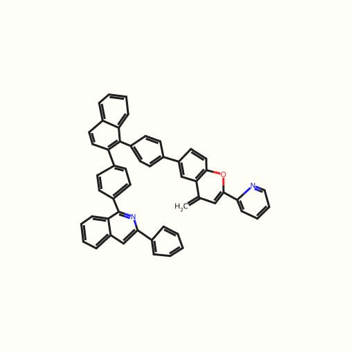 C=C1C=C(c2ccccn2)Oc2ccc(-c3ccc(-c4c(-c5ccc(-c6nc(-c7ccccc7)cc7ccccc67)cc5)ccc5ccccc45)cc3)cc21